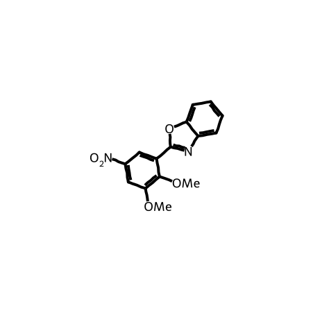 COc1cc([N+](=O)[O-])cc(-c2nc3ccccc3o2)c1OC